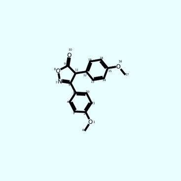 COc1ccc(C2=NOC(=O)C2c2ccc(OC)cc2)cc1